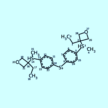 CCC1([SH](C)c2ccc(Sc3ccc([SH](C)C4(CC)COC4)cc3)cc2)COC1